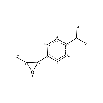 CC(C)c1ccc(C2OC2C)cc1